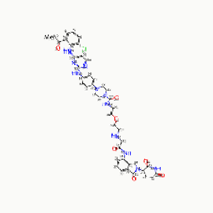 CNC(=O)c1ccccc1Nc1nc(Nc2ccc(N3CCN(C(=O)NCCOCCNCC(=O)Nc4cccc5c4CN(C4CCC(=O)NC4=O)C5=O)CC3)cc2)ncc1Cl